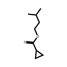 CC(C)CCOC(=O)C1CC1